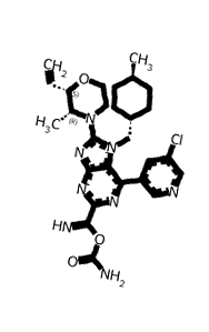 C=C[C@@H]1OCCN(c2nc3nc(C(=N)OC(N)=O)nc(-c4cncc(Cl)c4)c3n2C[C@H]2CC[C@H](C)CC2)[C@@H]1C